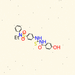 CCN(c1ccccc1)S(=O)(=O)c1ccc(NC(=S)NC(=O)c2ccc(O)cc2)cc1